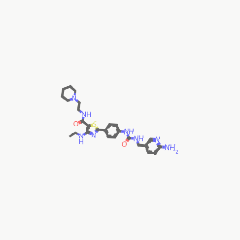 CCNc1nc(-c2ccc(NC(=O)NCc3ccc(N)nc3)cc2)sc1C(=O)NCCN1CCCCC1